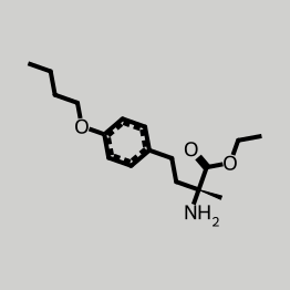 CCCCOc1ccc(CC[C@@](C)(N)C(=O)OCC)cc1